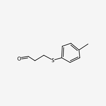 Cc1ccc(SCCC=O)cc1